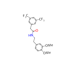 COc1ccc(CCNC(=O)Cc2cc(C(F)(F)F)cc(C(F)(F)F)c2)cc1OC